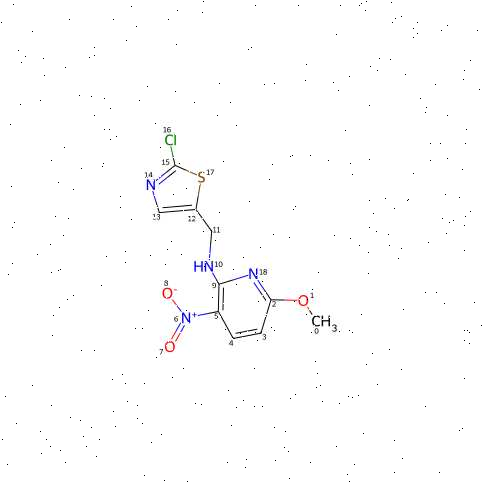 COc1ccc([N+](=O)[O-])c(NCc2cnc(Cl)s2)n1